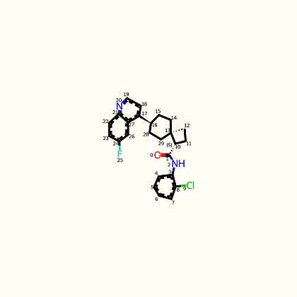 O=C(Nc1ccccc1Cl)[C@H]1CC[C@]12CC[C@H](c1ccnc3ccc(F)cc31)CC2